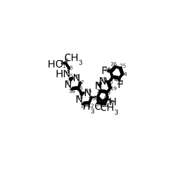 C[C@@H](O)CNc1ncc(-c2nccc([C@@]34CC[C@@H](c5cc(-c6c(F)cccc6F)nnc53)C4(C)C)n2)cn1